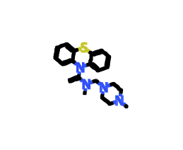 C=C(N(C)CN1CCN(C)CC1)N1c2ccccc2Sc2ccccc21